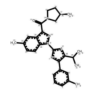 Cc1cccc(-c2nc(-n3nc(C(=O)N4CC[C@@H](C)C4)c4cc(C)ccc43)sc2C(C)C)c1